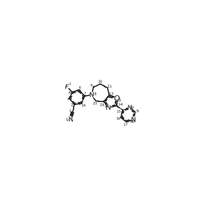 N#Cc1cc(F)cc(N2CCCc3oc(-c4ccncn4)nc3C2)c1